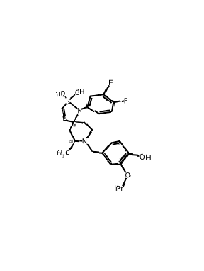 CC(C)Oc1cc(CN2CC[C@]3(C=CS(O)(O)N3c3ccc(F)c(F)c3)C[C@@H]2C)ccc1O